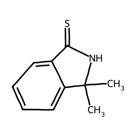 CC1(C)NC(=S)c2ccccc21